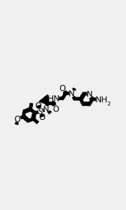 COc1cc(C)c(S(=O)(=O)N(C)C2(C(=O)NCC(=O)N(C)Cc3ccc(N)nc3)CC2)c(C)c1